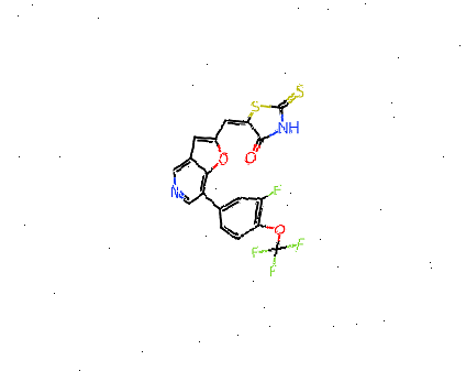 O=C1NC(=S)SC1=Cc1cc2cncc(-c3ccc(OC(F)(F)F)c(F)c3)c2o1